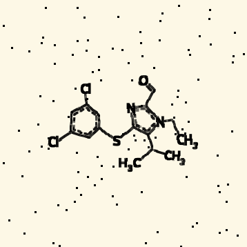 CCn1c(C=O)nc(Sc2cc(Cl)cc(Cl)c2)c1C(C)C